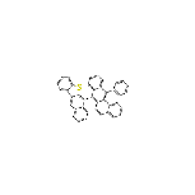 c1ccc(-c2c3ccccc3c(-c3c4ccccc4cc4c3sc3ccccc34)c3ccc4ccccc4c23)cc1